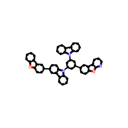 c1ccc2c(c1)oc1ccc(-c3ccc4c(c3)c3ccccc3n4-c3cc(-c4ccc5oc6ncccc6c5c4)cc(-n4c5ccccc5c5ccccc54)c3)cc12